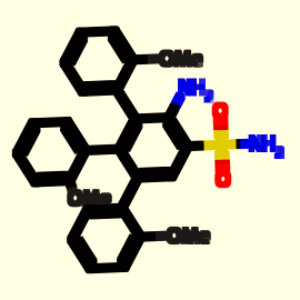 COc1ccccc1-c1cc(S(N)(=O)=O)c(N)c(-c2ccccc2OC)c1-c1ccccc1OC